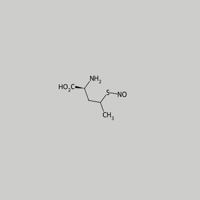 CC(C[C@H](N)C(=O)O)SN=O